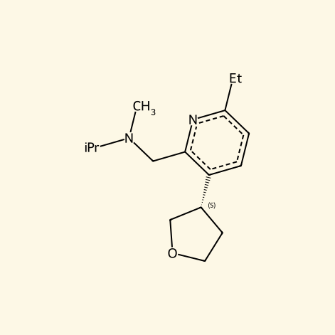 CCc1ccc([C@@H]2CCOC2)c(CN(C)C(C)C)n1